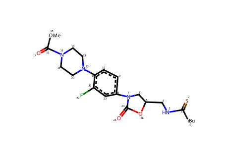 CCC(C)C(=S)NCC1CN(c2ccc(N3CCN(C(=O)OC)CC3)c(F)c2)C(=O)O1